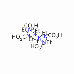 CC[C@H]1CN(CC(=O)O)[C@@H](CC)CN(CC(=O)O)[C@@H](CC)CN1CCN1C[C@H](CC)N(CC(=O)O)C[C@H](CC)N(CC(=O)O)C[C@@H]1CC